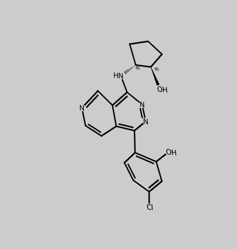 Oc1cc(Cl)ccc1-c1nnc(N[C@@H]2CCC[C@H]2O)c2cnccc12